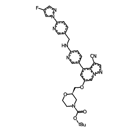 CC(C)(C)OC(=O)N1CCO[C@@H](COc2cc(-c3ccc(NCc4ccc(-n5cc(F)cn5)nc4)nc3)c3c(C#N)cnn3c2)C1